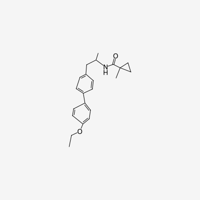 CCOc1ccc(-c2ccc(CC(C)NC(=O)C3(C)CC3)cc2)cc1